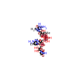 CCC1=C(N)c2ncn([C@@H]3O[C@H](COP(=O)(O)OP(=O)(O)OP(=O)(O)OP(=O)(O)OC[C@H]4O[C@@H](n5c[n+](C)c6c(=O)[nH]c(N)nc65)[C@H](O)[C@@H]4COC)[C@@H](OP(=O)(O)OC[C@H]4O[C@@H](n5ccc(=O)[nH]c5=O)[C@H](O)[C@@H]4O)[C@H]3OC)c2N=CC1